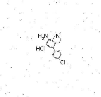 CN1CCc2c(-c3ccc(Cl)cc3)ccc(N)c2C1.Cl